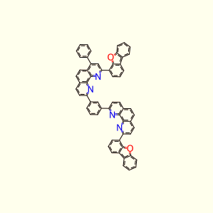 c1ccc(-c2cc(-c3cccc4c3oc3ccccc34)nc3c2ccc2ccc(-c4cccc(-c5ccc6ccc7ccc(-c8cccc9c8oc8ccccc89)nc7c6n5)c4)nc23)cc1